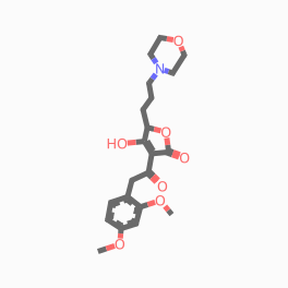 COc1ccc(CC(=O)C2=C(O)C(CCCN3CCOCC3)OC2=O)c(OC)c1